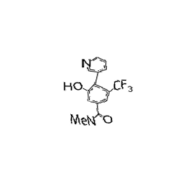 CNC(=O)c1cc(O)c(-c2cccnc2)c(C(F)(F)F)c1